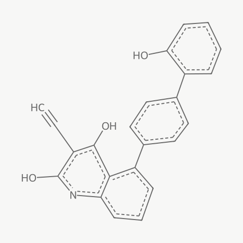 C#Cc1c(O)nc2cccc(-c3ccc(-c4ccccc4O)cc3)c2c1O